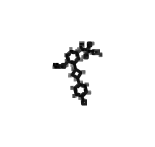 COc1ccc(NS(C)(=O)=O)cc1C1CC(c2ccc(Cl)cc2)C1